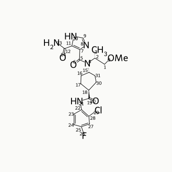 COC[C@@H](C)N(C(=O)c1nc[nH]c1C(N)=O)[C@H]1CC[C@H](C(=O)Nc2ccc(F)cc2Cl)CC1